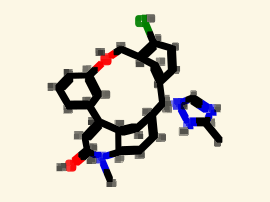 Cc1ncn([C@H]2c3ccc(Cl)c(c3)COc3cccc(c3)-c3cc(=O)n(C)c4ccc2cc34)n1